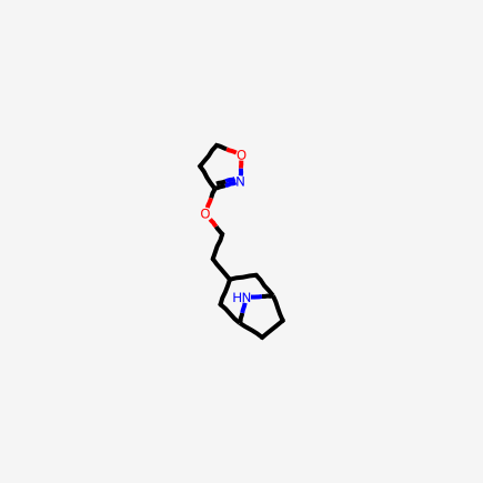 C1CC(OCCC2CC3CCC(C2)N3)=NO1